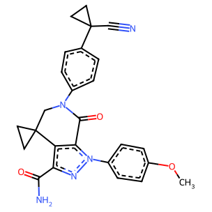 COc1ccc(-n2nc(C(N)=O)c3c2C(=O)N(c2ccc(C4(C#N)CC4)cc2)CC32CC2)cc1